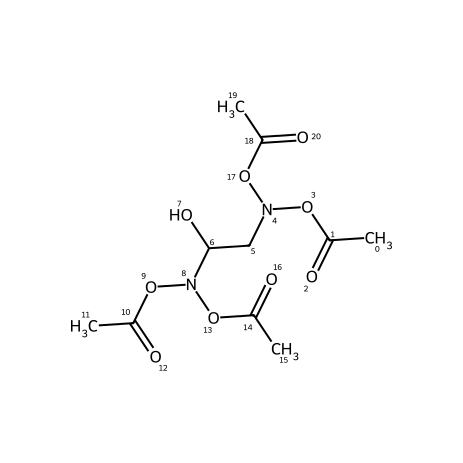 CC(=O)ON(CC(O)N(OC(C)=O)OC(C)=O)OC(C)=O